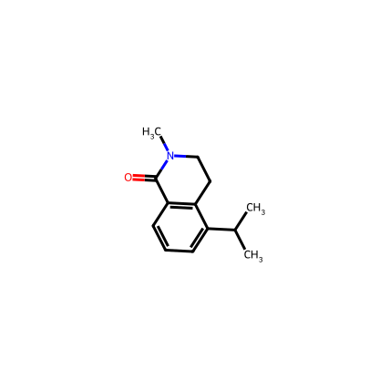 CC(C)c1cccc2c1CCN(C)C2=O